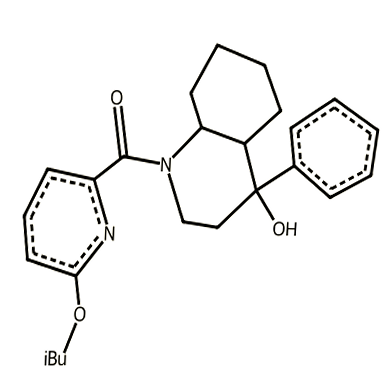 CCC(C)Oc1cccc(C(=O)N2CCC(O)(c3ccccc3)C3CCCCC32)n1